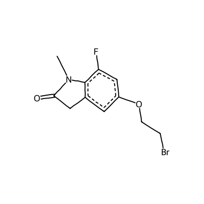 CN1C(=O)Cc2cc(OCCBr)cc(F)c21